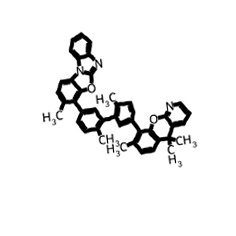 Cc1ccc(-c2c(C)ccc3c2Oc2ncccc2C3(C)C)cc1-c1cc(-c2c(C)ccc3c2oc2nc4ccccc4n23)ccc1C